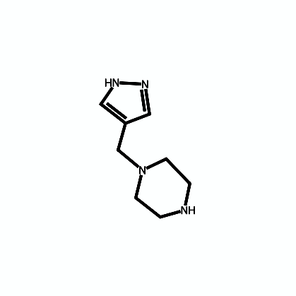 c1n[nH]cc1CN1CCNCC1